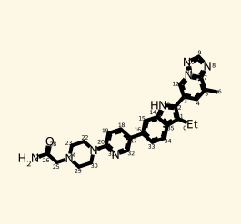 CCc1c(-c2cc(C)c3ncnn3c2)[nH]c2cc(-c3ccc(N4CCN(CC(N)=O)CC4)nc3)ccc12